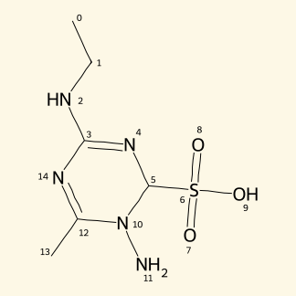 CCNC1=NC(S(=O)(=O)O)N(N)C(C)=N1